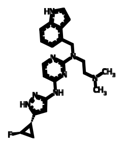 CN(C)CCN(Cc1cccc2[nH]ccc12)c1nccc(Nc2cc([C@@H]3C[C@H]3F)[nH]n2)n1